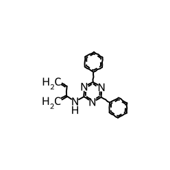 C=CC(=C)Nc1nc(-c2ccccc2)nc(-c2ccccc2)n1